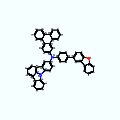 c1ccc2c(c1)oc1ccc(-c3ccc(N(c4ccc5c6ccccc6c6ccccc6c5c4)c4ccc5c(c4)c4cccc6c7ccccc7n5c64)cc3)cc12